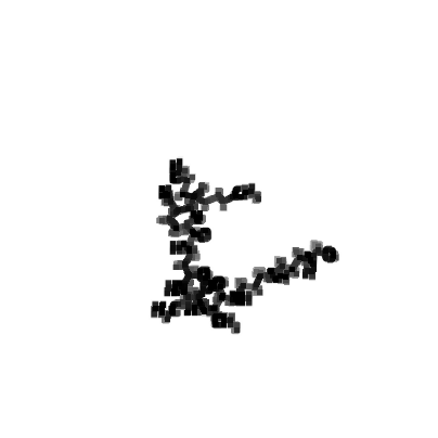 CCCCC(I)(CCC)c1nc(C(=O)NCCC(=O)N[C@@H](C)C(=O)N[C@@H](C)C(=O)NCCCNCCCNC=O)ccc1C#N